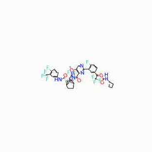 COc1cnc(-c2cc([C@H](OC(=O)NC3CCC3)C(F)(F)F)ccc2F)nc1C(=O)N[C@@H]1C2CCC(/C2=C/C(F)(F)F)[C@@H]1C(=O)Nc1ccc(F)c(C(F)(F)F)c1